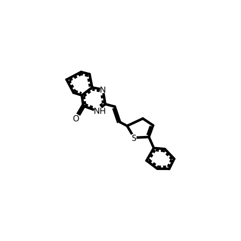 O=c1[nH]c(/C=C/C2CC=C(c3ccccc3)S2)nc2ccccc12